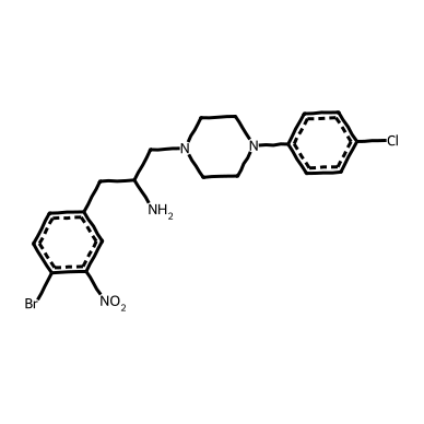 NC(Cc1ccc(Br)c([N+](=O)[O-])c1)CN1CCN(c2ccc(Cl)cc2)CC1